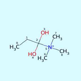 CCC(O)(O)[N+](C)(C)C